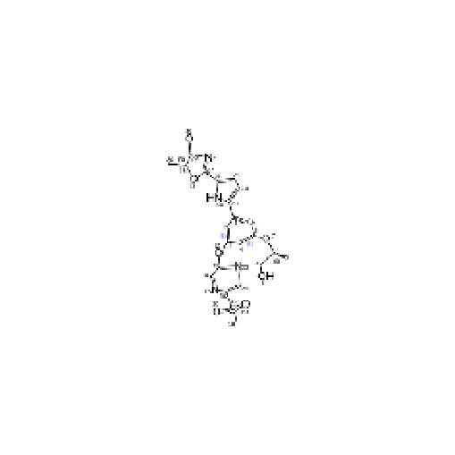 C=C(/C=C(\C=C(/C)O[C@@H](C)CO)Oc1cnc(S(C)(=O)=O)cn1)c1ccc(C2=NC(=O)[C@H](C)O2)[nH]1